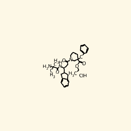 CCOC(=O)C1(Cc2ccccc2)CCCN(C(=O)CC(NC(=O)C(C)(C)N)C2Cc3ccccc3C2)C1.Cl